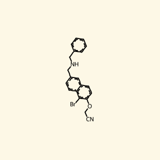 N#CCOc1ccc2cc(CNCc3ccccc3)ccc2c1Br